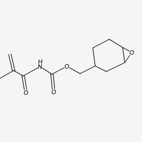 C=C(C)C(=O)NC(=O)OCC1CCC2OC2C1